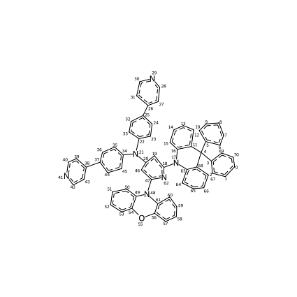 c1ccc(C2(c3ccccc3)c3ccccc3N(c3cc(N(c4ccc(-c5ccncc5)cc4)c4ccc(-c5ccncc5)cc4)cc(N4c5ccccc5Oc5ccccc54)n3)c3ccccc32)cc1